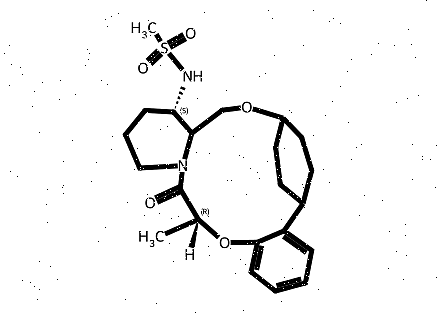 C[C@H]1Oc2ccccc2C2CCC(CC2)OCC2[C@@H](NS(C)(=O)=O)CCCN2C1=O